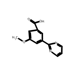 COc1cc(C(=O)O)cc(-c2ncccn2)c1